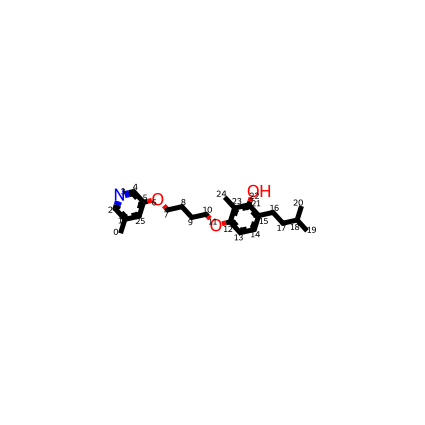 Cc1cncc(OCCCCOc2ccc(CCC(C)C)c(O)c2C)c1